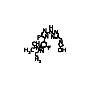 Cc1nc2c(F)cc(-c3nc(Nc4ncc(CN5CC(O)C5)cn4)ncc3F)cc2n1C(C)C